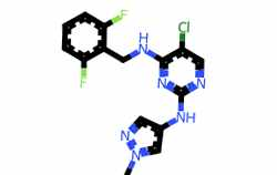 Cn1cc(Nc2ncc(Cl)c(NCc3c(F)cccc3F)n2)cn1